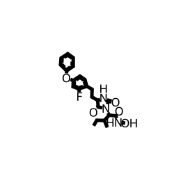 CCC(C)C(C(=O)NO)N1C(=O)NC(CCc2ccc(Oc3ccccc3)cc2F)C1=O